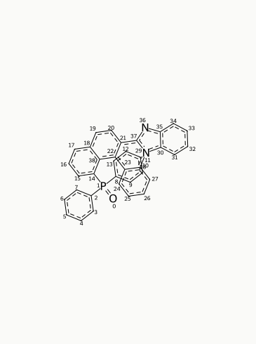 O=P(c1ccccc1)(c1ccccc1)c1cccc2ccc3c(c4ccccc4n4c5ccccc5nc34)c12